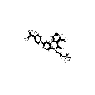 CCC(C(=O)O)C1CCN(c2ccc(N(CCO[Si](C)(C)C(C)(C)C)C(=O)c3c(Cl)ncnc3Cl)cn2)CC1